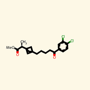 COC(=O)[C@@H](C)C12CC(CCCCC(=O)c3ccc(Cl)c(Cl)c3)(C1)C2